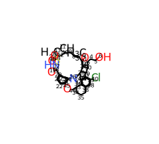 CO[C@]1(CCCO)/C=C/C[C@H](C)[C@@H](C)S(=O)(=O)NC(=O)c2ccc3c(c2)N(C[C@@H]2CC[C@H]21)C[C@@]1(CCCc2cc(Cl)ccc21)CO3